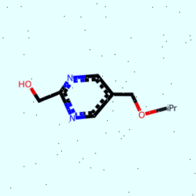 CC(C)OCc1cnc(CO)nc1